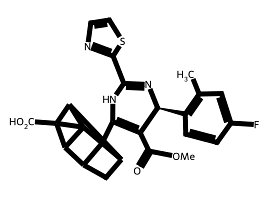 COC(=O)C1=C(C23C4CC2C2C5(C(=O)O)C4C235)NC(c2nccs2)=N[C@H]1c1ccc(F)cc1C